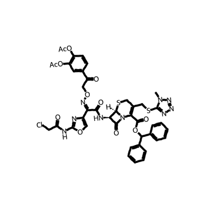 CC(=O)Oc1ccc(C(=O)CO/N=C(\C(=O)N[C@@H]2C(=O)N3C(C(=O)OC(c4ccccc4)c4ccccc4)=C(CSc4nnnn4C)CS[C@H]23)c2coc(NC(=O)CCl)n2)cc1OC(C)=O